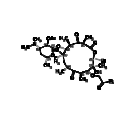 CCC(=O)CO[C@@H]1[C@@H](C)C(=O)[C@H](C)C[C@@](C)(O)[C@H](O[C@@H]2O[C@H](C)C[C@H](N(C)C)[C@H]2OC(C)=O)[C@@H](C)C(=O)[C@@H](C)C(=O)O[C@H](CC)[C@@]1(C)O